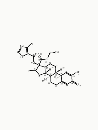 Cc1ncsc1C(=O)O[C@]1(C(=O)SCF)[C@H](C)C[C@H]2[C@@H]3CCC4=CC(=O)C(O)=C[C@]4(C)[C@H]3CC[C@@]21C